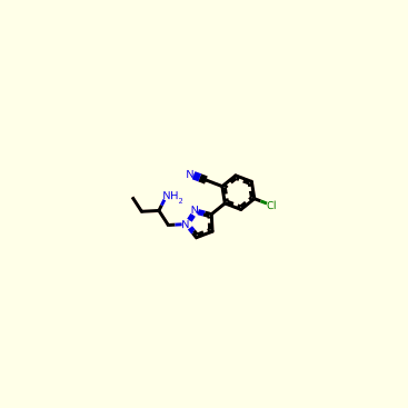 CCC(N)Cn1ccc(-c2cc(Cl)ccc2C#N)n1